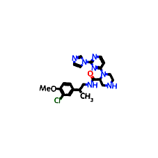 COc1ccc(C(C)CNC(=O)C2CNCCN2c2ccnc(-n3ccnc3)n2)cc1Cl